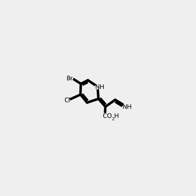 N=C/C(C(=O)O)=C1/C=C(Cl)C(Br)=CN1